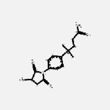 CCCC1CC(=O)N(c2ccc(C(C)(C)CCC(N)=O)cc2)C1=O